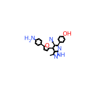 Cc1n[nH]c2nc(-c3ccc(O)cc3)c(C#N)c(-c3ccc(-c4ccc(N)cc4)o3)c12